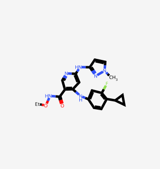 CCONC(=O)c1cnc(Nc2ccn(C)n2)cc1Nc1ccc(C2CC2)c(F)c1